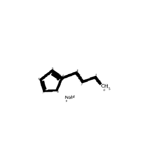 CCCCC1=CC=CC1.[NaH]